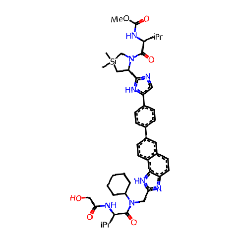 COC(=O)NC(C(=O)N1C[Si](C)(C)CC1c1ncc(-c2ccc(-c3ccc4c(ccc5nc(CN(C(=O)C(NC(=O)CO)C(C)C)C6CCCCC6)[nH]c54)c3)cc2)[nH]1)C(C)C